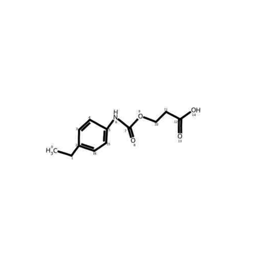 CCc1ccc(NC(=O)OCCC(=O)O)cc1